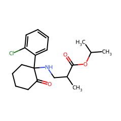 CC(C)OC(=O)C(C)CNC1(c2ccccc2Cl)CCCCC1=O